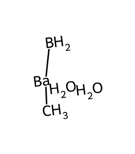 O.O.[BH2][Ba][CH3]